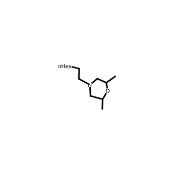 CCCCCCCCN1CC(C)OC(C)C1